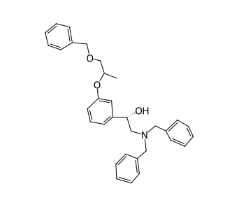 CC(COCc1ccccc1)Oc1cccc([C@H](O)CN(Cc2ccccc2)Cc2ccccc2)c1